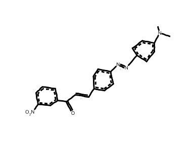 CN(C)c1ccc(/N=N/c2ccc(/C=C/C(=O)c3cccc([N+](=O)[O-])c3)cc2)cc1